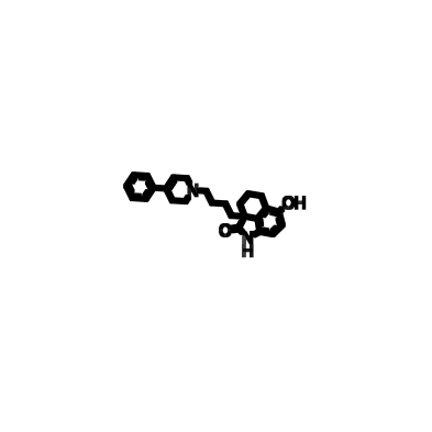 O=C1Nc2ccc(O)c3c2C1(CCCCN1CC=C(c2ccccc2)CC1)CCC3